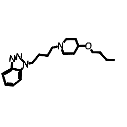 CCCCOC1CCN(CCCCn2nnc3ccccc32)CC1